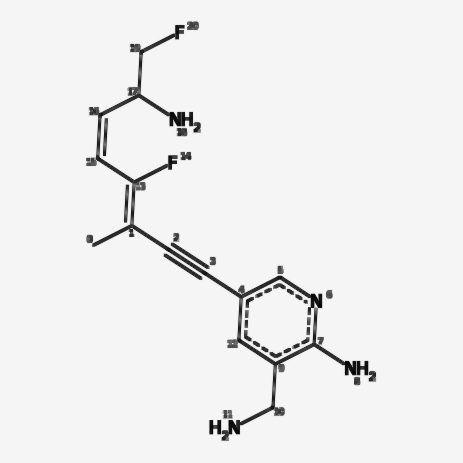 C/C(C#Cc1cnc(N)c(CN)c1)=C(F)\C=C/C(N)CF